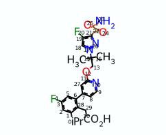 CC(C)c1cc(F)cc(-c2ccnc(OCC(C)(C)n3cc(F)c(S(N)(=O)=O)n3)c2)c1CC(=O)O